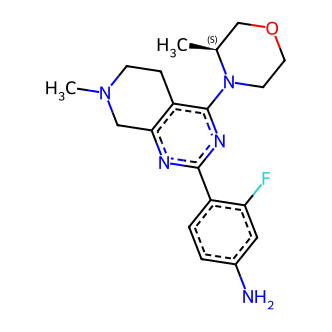 C[C@H]1COCCN1c1nc(-c2ccc(N)cc2F)nc2c1CCN(C)C2